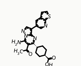 CC(=O)c1c(N)n2ncc(-c3cnc4sccc4c3)c2nc1[C@H]1CC[C@H](C(=O)O)CC1